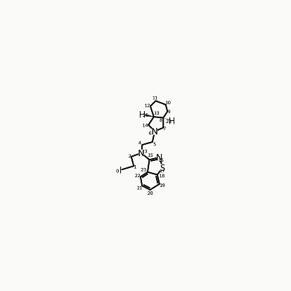 ICCN(CCN1C[C@@H]2CCCC[C@H]2C1)c1nsc2ccccc12